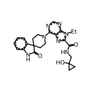 CCn1c(C(=O)NCC2(O)CC2)nc2c(N3CCC4(CC3)C(=O)Nc3ccccc34)ncnc21